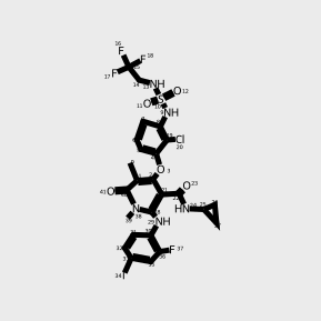 Cc1c(Oc2cccc(NS(=O)(=O)NCC(F)(F)F)c2Cl)c(C(=O)NC2CC2)c(Nc2ccc(I)cc2F)n(C)c1=O